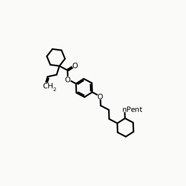 C=CCC1(C(=O)Oc2ccc(OCCCC3CCCCC3CCCCC)cc2)CCCCC1